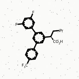 CC(C)C[C@@H](C(=O)O)c1cc(-c2ccc(C(F)(F)F)cc2)cc(-c2cc(F)cc(F)c2)c1